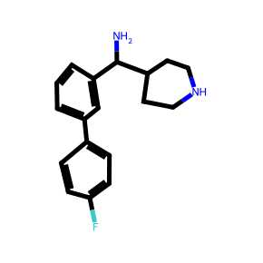 N[C](c1cccc(-c2ccc(F)cc2)c1)C1CCNCC1